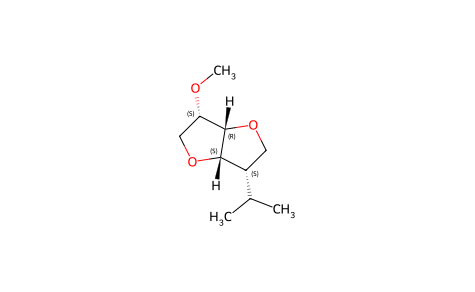 CO[C@H]1CO[C@@H]2[C@H]1OC[C@@H]2C(C)C